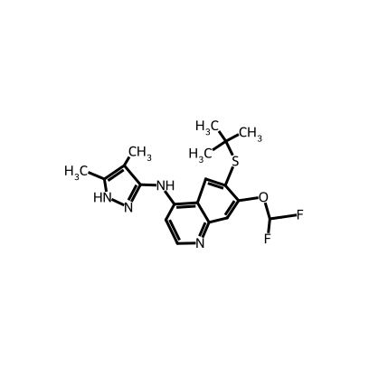 Cc1[nH]nc(Nc2ccnc3cc(OC(F)F)c(SC(C)(C)C)cc23)c1C